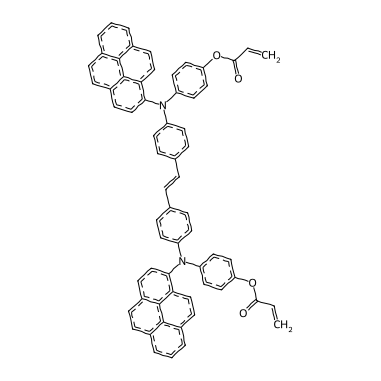 C=CC(=O)Oc1ccc(N(c2ccc(C=Cc3ccc(N(c4ccc(OC(=O)C=C)cc4)c4ccc5ccc6cccc7ccc4c5c67)cc3)cc2)c2ccc3ccc4cccc5ccc2c3c45)cc1